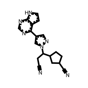 N#CCC(C1CCC(C#N)C1)n1cc(-c2ncnc3[nH]ccc23)cn1